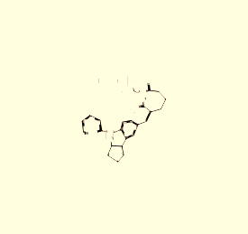 O=C(O)CN1C(=O)/C(=C\c2ccc3c(c2)C2CCCC2N3c2ccccc2)CCCC1=S